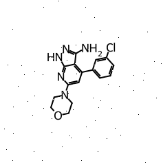 Nc1n[nH]c2nc(N3CCOCC3)cc(-c3cccc(Cl)c3)c12